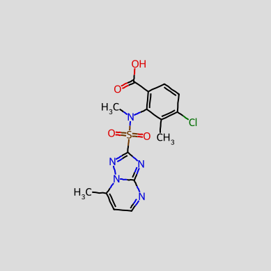 Cc1c(Cl)ccc(C(=O)O)c1N(C)S(=O)(=O)c1nc2nccc(C)n2n1